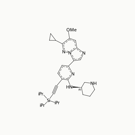 COc1cc2ncc(-c3ccc(C#C[Si](C(C)C)(C(C)C)C(C)C)c(N[C@@H]4CCCNC4)n3)n2nc1C1CC1